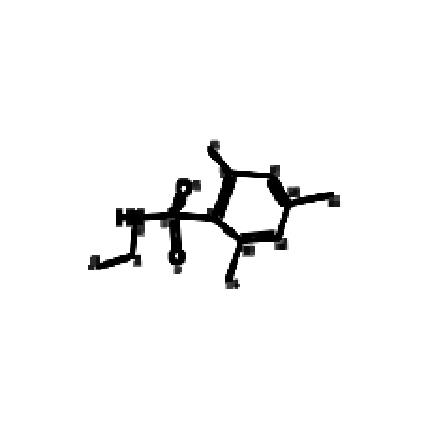 [CH2]CNS(=O)(=O)c1c(C)cc(C)cc1C